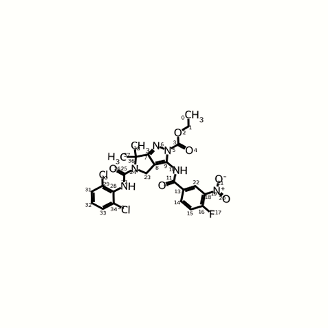 CCOC(=O)n1nc2c(c1NC(=O)c1ccc(F)c([N+](=O)[O-])c1)CN(C(=O)Nc1c(Cl)cccc1Cl)C2(C)C